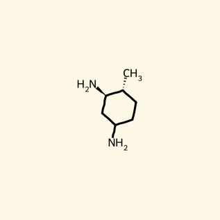 C[C@@H]1CCC(N)C[C@H]1N